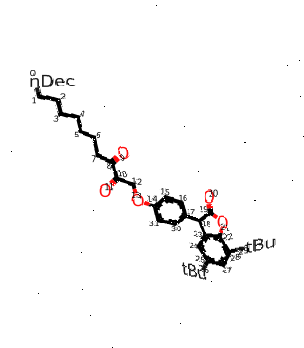 CCCCCCCCCCCCCCCCCC(=O)C(=O)COc1ccc(C2C(=O)Oc3c2cc(C(C)(C)C)cc3C(C)(C)C)cc1